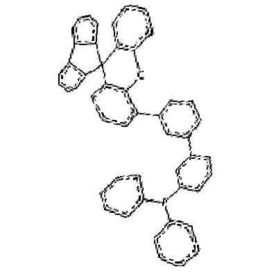 c1ccc(P(c2ccccc2)c2cccc(-c3cccc(-c4cccc5c4Oc4ccccc4C54c5ccccc5-c5ccccc54)c3)c2)cc1